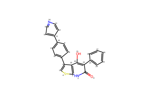 O=c1[nH]c2scc(-c3ccc(-c4ccncc4)cc3)c2c(O)c1-c1ccccc1